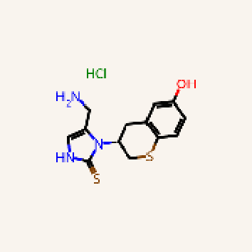 Cl.NCc1c[nH]c(=S)n1[C@@H]1CSc2ccc(O)cc2C1